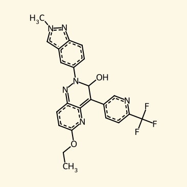 CCOc1ccc2c(n1)=C(c1ccc(C(F)(F)F)nc1)C(O)N(c1ccc3nn(C)cc3c1)N=2